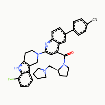 N#Cc1ccc(-c2ccc3nc(N4CCc5[nH]c6c(F)cccc6c5C4)cc(C(=O)N4CCC[C@H]4CN4CCCC4)c3c2)cc1